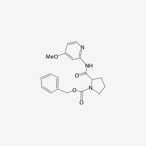 COc1ccnc(NC(=O)C2CCCN2C(=O)OCc2ccccc2)c1